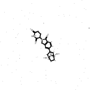 O=C1CCC(N2Cc3cc(C4C[C@H]5CC[C@@H](C4)N5)ccc3C2=O)C(=O)N1